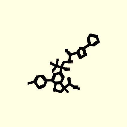 C[C@]1(C(N)=O)COc2c1cc(C(O)(CNC(=O)c1cnc(-c3ccccc3)s1)C(F)(F)F)nc2-c1ccc(F)cc1